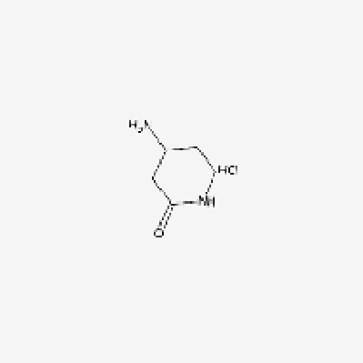 Cl.NC1CCNC(=O)C1